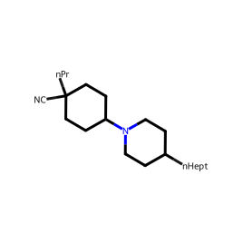 CCCCCCCC1CCN(C2CCC(C#N)(CCC)CC2)CC1